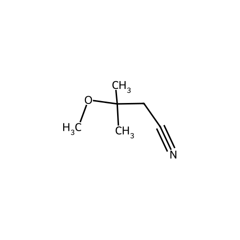 COC(C)(C)CC#N